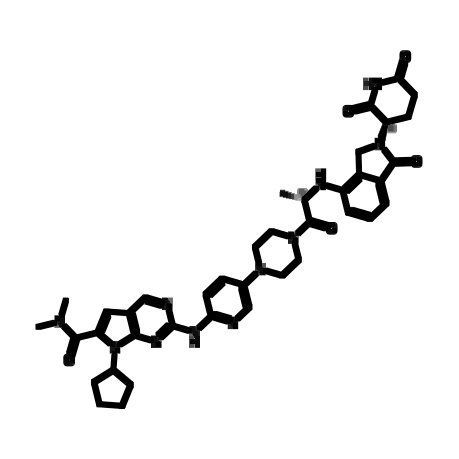 C[C@H](Nc1cccc2c1CN([C@@H]1CCC(=O)NC1=O)C2=O)C(=O)N1CCN(c2ccc(Nc3ncc4cc(C(=O)N(C)C)n(C5CCCC5)c4n3)nc2)CC1